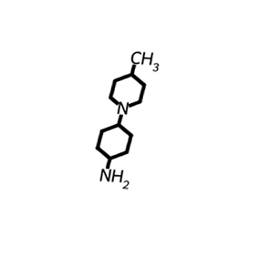 CC1CCN(C2CCC(N)CC2)CC1